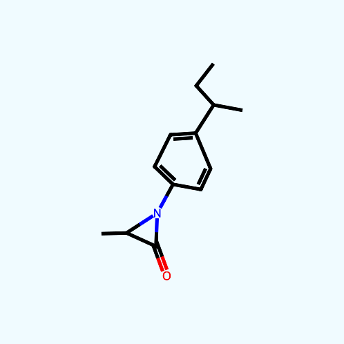 CCC(C)c1ccc(N2C(=O)C2C)cc1